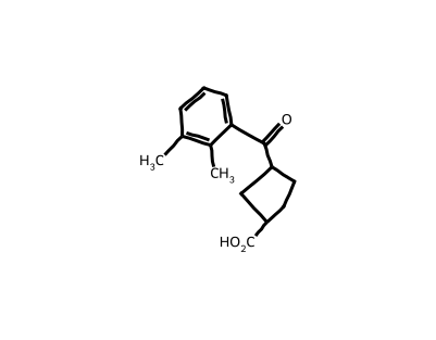 Cc1cccc(C(=O)C2CCC(C(=O)O)C2)c1C